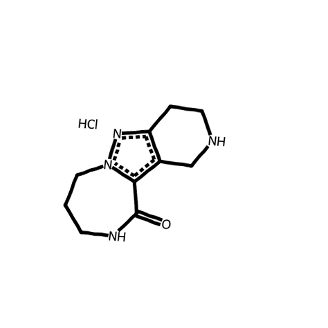 Cl.O=C1NCCCn2nc3c(c21)CNCC3